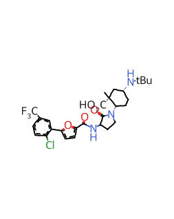 CC(C)(C)N[C@@H]1CC[C@H](N2CCC(NC(=O)c3ccc(-c4cc(C(F)(F)F)ccc4Cl)o3)C2=O)[C@](C)(C(=O)O)C1